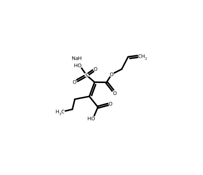 C=CCOC(=O)/C(=C(/CCC)C(=O)O)S(=O)(=O)O.[NaH]